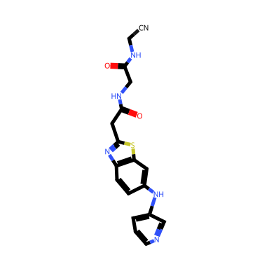 N#CCNC(=O)CNC(=O)Cc1nc2ccc(Nc3cccnc3)cc2s1